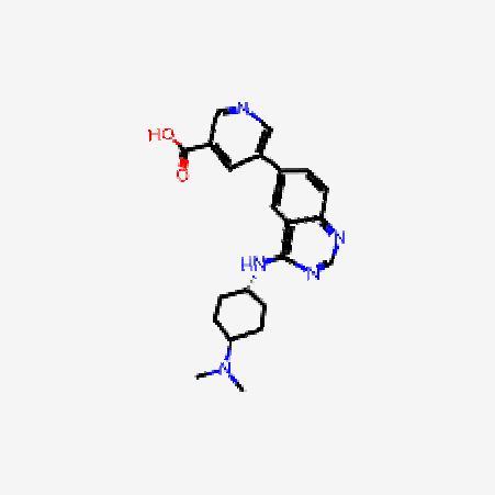 CN(C)[C@H]1CC[C@H](Nc2ncnc3ccc(-c4cncc(C(=O)O)c4)cc23)CC1